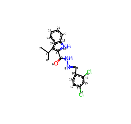 CC(C)c1c(C(=O)NN=Cc2ccc(Cl)cc2Cl)[nH]c2ccccc12